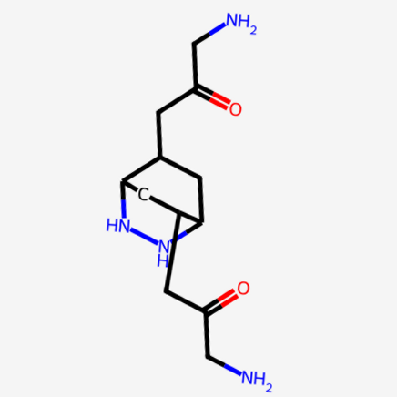 NCC(=O)CC1CC2NNC1CC2CC(=O)CN